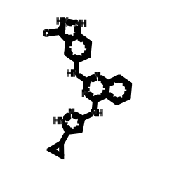 O=c1[nH][nH]c2ccc(Nc3nc(Nc4cc(C5CC5)[nH]n4)c4ccccc4n3)cc12